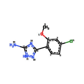 COc1cc(Cl)ccc1-c1n[nH]c(N)n1